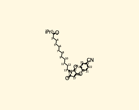 CC(C)C(=O)CCCCCCCCCCCN1C(=O)C=C(Oc2ccc(C#N)cc2)C1=O